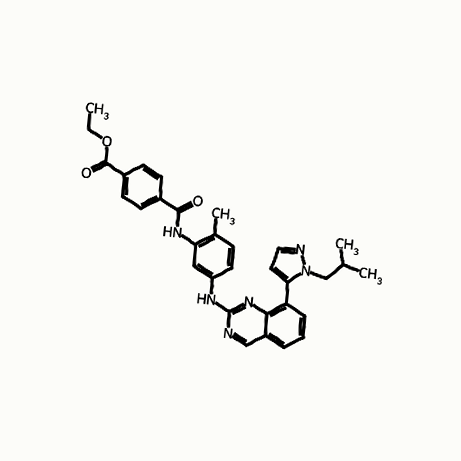 CCOC(=O)c1ccc(C(=O)Nc2cc(Nc3ncc4cccc(-c5ccnn5CC(C)C)c4n3)ccc2C)cc1